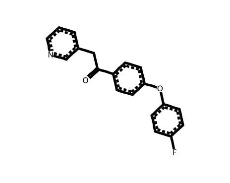 O=C(Cc1cccnc1)c1ccc(Oc2ccc(F)cc2)cc1